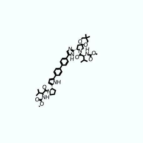 COC(=O)NC(C(=O)N1CCC[C@H]1c1ccc(-c2ccc(-c3ccc(-c4cnc([C@@H]5CC6(CN5C(=O)[C@H](NC(=O)OC)C(C)C)OCC(C)(C)CO6)[nH]4)cc3)cc2)[nH]1)C(C)C